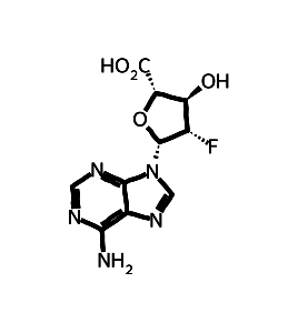 Nc1ncnc2c1ncn2[C@@H]1O[C@H](C(=O)O)[C@@H](O)[C@@H]1F